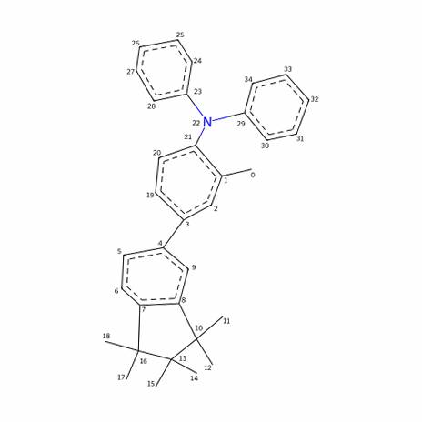 Cc1cc(-c2ccc3c(c2)C(C)(C)C(C)(C)C3(C)C)ccc1N(c1ccccc1)c1ccccc1